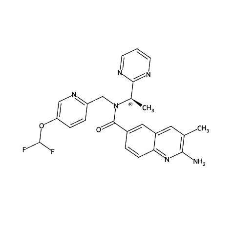 Cc1cc2cc(C(=O)N(Cc3ccc(OC(F)F)cn3)[C@H](C)c3ncccn3)ccc2nc1N